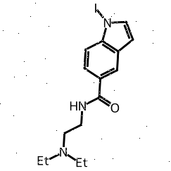 CCN(CC)CCNC(=O)c1ccc2c(ccn2I)c1